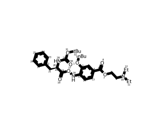 CCCCOc1cc(C(=O)OCCN(CC)CC)ccc1NOC(=O)[C@@H](Cc1ccccc1)NC(=O)OC(C)(C)C